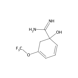 N=C(N)C1(O)C=CC=C(OC(F)(F)F)C1